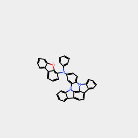 c1ccc(N(c2ccc3c(c2)n2c4ccccc4c4ccc5c6ccccc6n3c5c42)c2cccc3c2oc2ccccc23)cc1